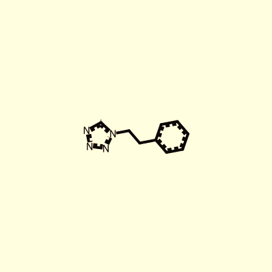 [c]1nnnn1CCc1ccccc1